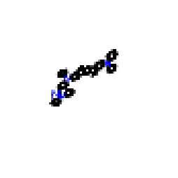 C/N=C(\c1ccc(N(c2ccccc2)c2ccc3c(c2)C(C)(C)c2cc4c(cc2-3)C(C)(C)c2cc(N(c3ccccc3)c3ccccc3)ccc2-4)cc1)N(c1ccccc1)c1ccccc1